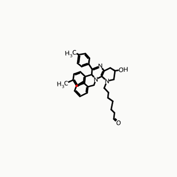 Cc1ccc(C2=NC3=C(N(CCCCCCC=O)CC(O)C3)N(Cc3ccccc3)C2c2ccc(C)cc2)cc1